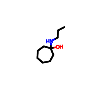 CCCNC1(O)CCCCCC1